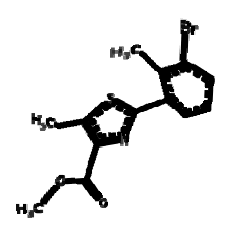 COC(=O)c1nc(-c2cccc(Br)c2C)sc1C